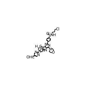 CN(Cc1nc2c(N3CCOCC3)nc(-c3ccc([S+]([O-])NCCCCl)cc3)nc2n1C)c1ncc(C=O)cn1